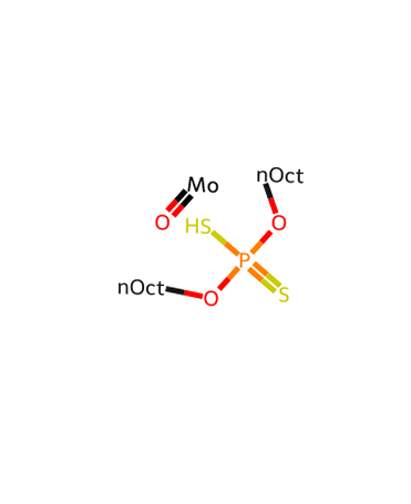 CCCCCCCCOP(=S)(S)OCCCCCCCC.[O]=[Mo]